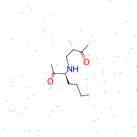 CCCC[C@H](NC[C@H](C)C(C)=O)C(C)=O